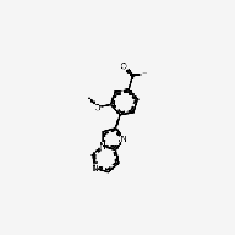 COc1cc(C(C)=O)ccc1-c1cn2cnccc2n1